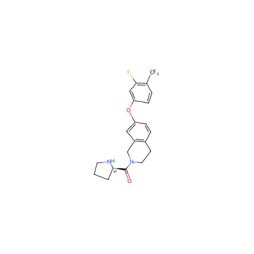 O=C([C@H]1CCCN1)N1CCc2ccc(Oc3ccc(C(F)(F)F)c(F)c3)cc2C1